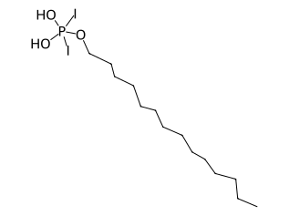 CCCCCCCCCCCCCCOP(O)(O)(I)I